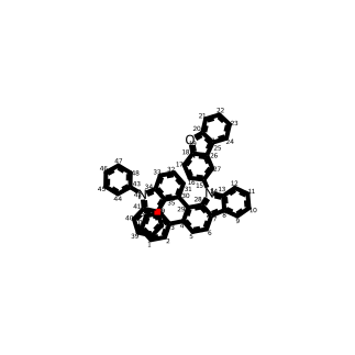 c1ccc(-c2ccc3c4ccccc4n(-c4ccc5oc6ccccc6c5c4)c3c2-c2cccc3c2c2ccccc2n3-c2ccccc2)cc1